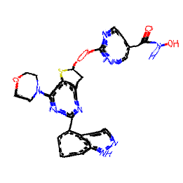 O=C(NO)c1cnc(OC2Cc3nc(-c4cccc5[nH]ncc45)nc(N4CCOCC4)c3S2)nc1